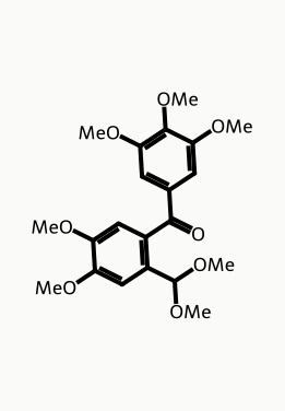 COc1cc(C(=O)c2cc(OC)c(OC)c(OC)c2)c(C(OC)OC)cc1OC